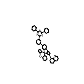 c1ccc(-c2nc(-c3ccccc3)nc(-c3cccc(-c4ccc5c(c4)C4(c6ccccc6Oc6ccccc64)c4cc(-c6cccc7cccnc67)ccc4-5)c3)n2)cc1